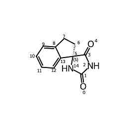 O=C1NC(=O)[C@@]2(CCc3ccccc32)N1